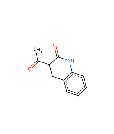 CC(=O)C1Cc2c[c]ccc2NC1=O